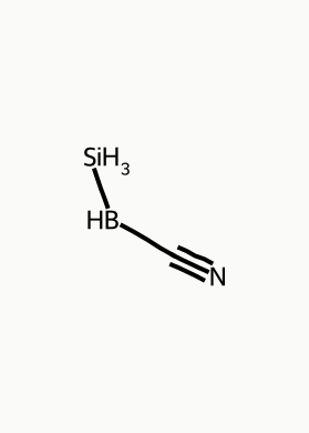 N#CB[SiH3]